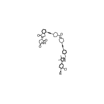 Cc1c(-c2ccc(C#N)c(Cl)c2)nn(Cc2ccc(C#CC3CCN(C(=O)C4CCC(C#Cc5cccc6c5CN(C5CCC(=O)NC5=O)C6=O)CC4)CC3)cc2)c1C